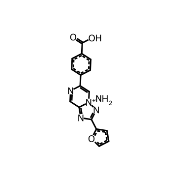 N[N+]12C=C(c3ccc(C(=O)O)cc3)N=CC1=NC(c1ccco1)=N2